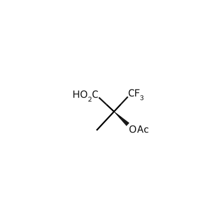 CC(=O)O[C@@](C)(C(=O)O)C(F)(F)F